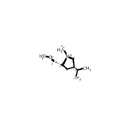 COC[C@H]1C[C@H](C(C)C)CN1C